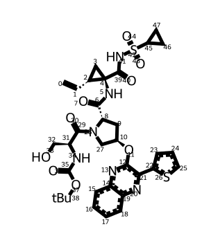 C=C[C@@H]1C[C@]1(NC(=O)[C@@H]1C[C@@H](Oc2nc3ccccc3nc2-c2cccs2)CN1C(=O)[C@H](CO)NC(=O)OC(C)(C)C)C(=O)NS(=O)(=O)C1CC1